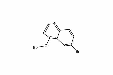 CCOc1ccnc2ccc(Br)cc12